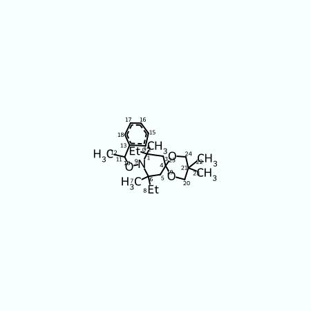 CCC1(C)CC2(CC(C)(CC)N1OC(C)c1ccccc1)OCC(C)(C)CO2